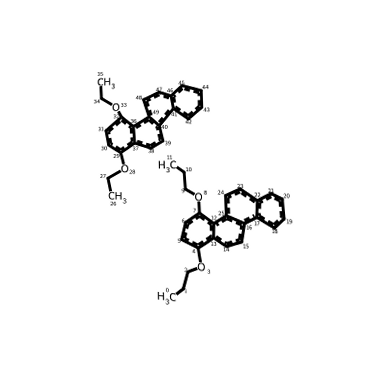 CCCOc1ccc(OCCC)c2c1ccc1c3ccccc3ccc12.CCOc1ccc(OCC)c2c1ccc1c3ccccc3ccc12